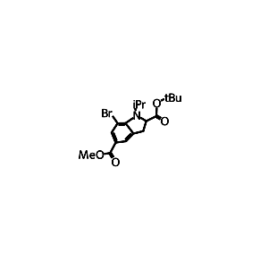 COC(=O)c1cc(Br)c2c(c1)CC(C(=O)OC(C)(C)C)N2C(C)C